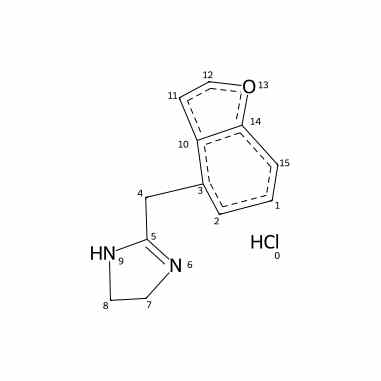 Cl.c1cc(CC2=NCCN2)c2ccoc2c1